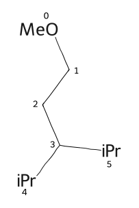 COCCC(C(C)C)C(C)C